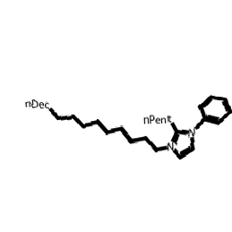 CCCCCCCCCCCCCCCCCCC[n+]1ccn(-c2ccccc2)c1CCCCC